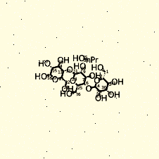 OC[C@H]1OC(O[C@H]2[C@H](O)[C@@H](O)C(O[C@H]3[C@H](O)[C@@H](O)[C@@H](O)O[C@@H]3CO)O[C@@H]2CO)[C@H](O)[C@@H](O)[C@@H]1O.[CH2]CCO